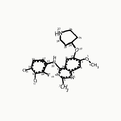 COc1cc2nc(C)nc(Nc3ccc(Cl)c(Cl)c3F)c2cc1OC1CCNCC1